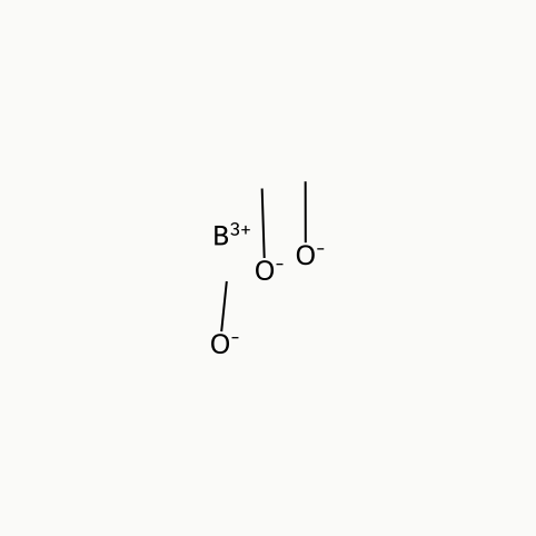 C[O-].C[O-].C[O-].[B+3]